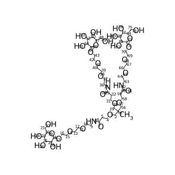 CC(COCCC(=O)NCCOCCOCCO[C@@H]1OC(CO)[C@@H](O)C(O)C1O)(COCCC(=O)NCCOCCOCCO[C@H]1OC(CO)[C@@H](O)C(O)C1O)COCCC(=O)NCCOCCOCCO[C@H]1O[C@H](CO)[C@@H](O)C(O)C1O